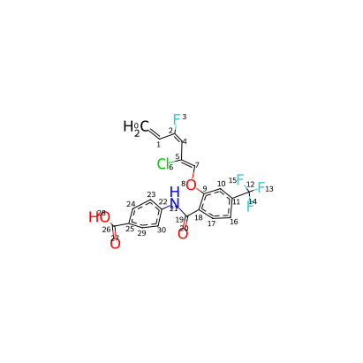 C=C/C(F)=C\C(Cl)=C\Oc1cc(C(F)(F)F)ccc1C(=O)Nc1ccc(C(=O)O)cc1